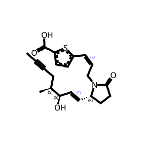 CC#CC[C@H](C)[C@H](O)/C=C/[C@H]1CCC(=O)N1C/C=C\c1ccc(C(=O)O)s1